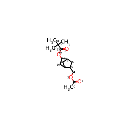 CC(=O)OCC1CC2CC1CC2OC(=O)C(C)(C)C